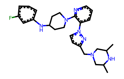 CC1CN(Cc2ccn(-c3cccnc3N3CCC(Nc4cccc(F)c4)CC3)n2)CC(C)N1